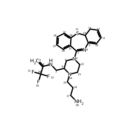 C=C(NCC1CN(C2=NC3=CC=CCC3Sc3ccccc32)CCN1CCCN)C(F)(F)F